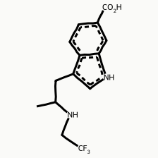 CC(Cc1c[nH]c2cc(C(=O)O)ccc12)NCC(F)(F)F